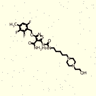 Cc1cc(F)c(COc2nsc(NC(=O)NCCCCCN3CCN(CCO)CC3)c2C(N)=O)c(F)c1F